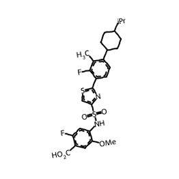 COc1cc(C(=O)O)c(F)cc1NS(=O)(=O)c1csc(-c2ccc(C3CCC(C(C)C)CC3)c(C)c2F)n1